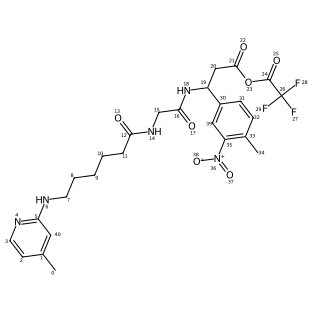 Cc1ccnc(NCCCCCC(=O)NCC(=O)NC(CC(=O)OC(=O)C(F)(F)F)c2ccc(C)c([N+](=O)[O-])c2)c1